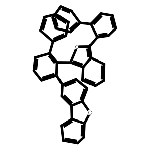 c1ccc(-c2ccccc2-c2oc(-c3c(-c4ccccc4)cccc3-c3ccc4oc5ccccc5c4c3)c3ccccc23)cc1